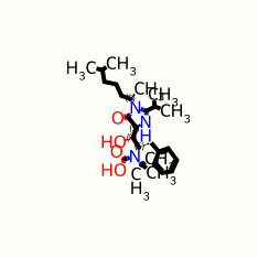 CC(C)CCC[C@H](C)N1C(=O)[C@H]([C@@H](O)[C@H](Cc2ccccc2)N(C(=O)O)C(C)(C)C)NC1C(C)C